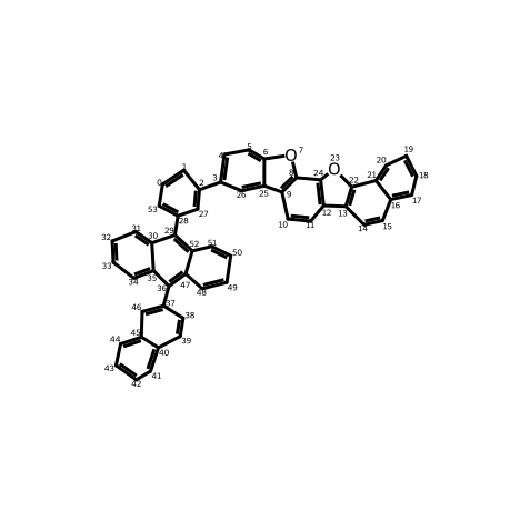 c1cc(-c2ccc3oc4c(ccc5c6ccc7ccccc7c6oc54)c3c2)cc(-c2c3ccccc3c(-c3ccc4ccccc4c3)c3ccccc23)c1